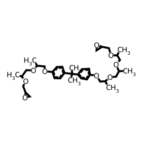 CC(COc1ccc(C(C)(C)c2ccc(OCC(C)OCC(C)OCC3CO3)cc2)cc1)OCC(C)OCC(C)OCC1CO1